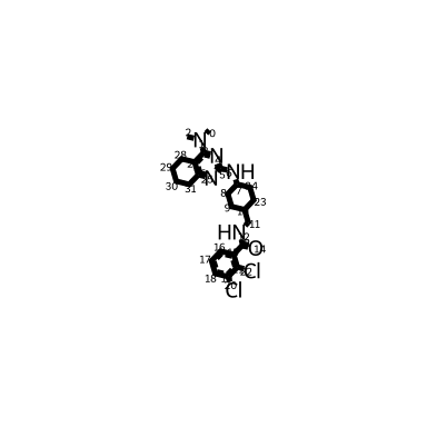 CN(C)c1nc(NC2CCC(CNC(=O)c3cccc(Cl)c3Cl)CC2)nc2c1CCCC2